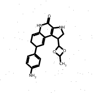 CC1OC(C2CNc3c2c2c([nH]c3=O)=CCC(c3ccc(N)cc3)C=2)O1